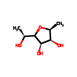 C[C@@H]1O[C@H]([C@@H](C)O)[C@@H](O)[C@H]1O